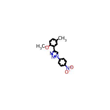 COc1ccc(C)cc1-c1cn(-c2ccc([N+](=O)[O-])cc2)nn1